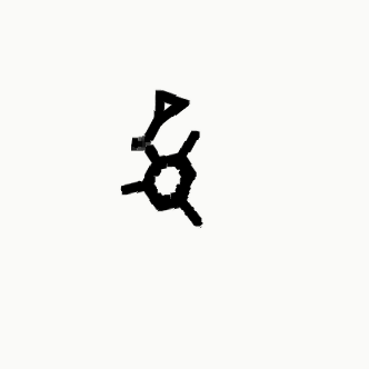 Cc1cc(C)c(PC2CC2)c(C)c1